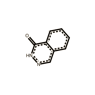 O=c1[nH]ncc2ccc[c]c12